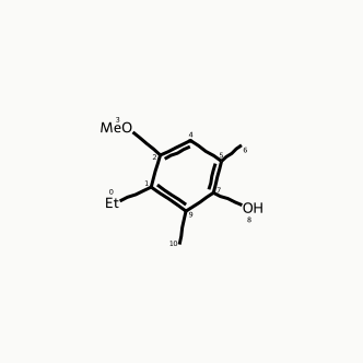 CCc1c(OC)cc(C)c(O)c1C